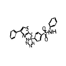 O=S(=O)(Nc1ccccc1)c1ccc(C2(Sc3nc(-c4ccccc4)cs3)N=NN=N2)cc1